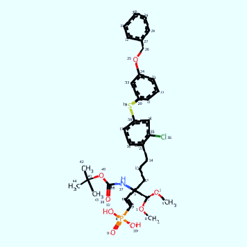 COC(OC)C(C=CP(=O)(O)O)(CCCc1ccc(Sc2cccc(OCc3ccccc3)c2)cc1Cl)NC(=O)OC(C)(C)C